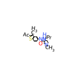 CC(=O)c1sc2ccc(NC(=O)[C@]3(NC(C)C)CCN(C)C3)cc2c1C